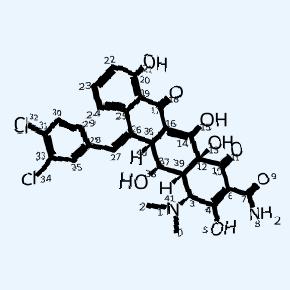 CN(C)[C@@H]1C(O)=C(C(N)=O)C(=O)[C@@]2(O)C(O)=C3C(=O)c4c(O)cccc4/C(=C\c4ccc(Cl)c(Cl)c4)[C@H]3[C@H](O)[C@@H]12